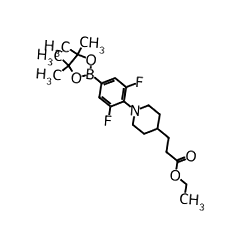 CCOC(=O)CCC1CCN(c2c(F)cc(B3OC(C)(C)C(C)(C)O3)cc2F)CC1